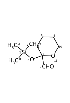 C[Si](C)(C)OC1(C=O)CCCCO1